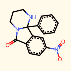 O=C1c2ccc([N+](=O)[O-])cc2C2(c3ccccc3)NCCCN12